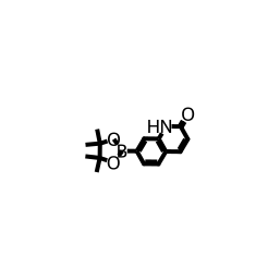 CC1(C)OB(c2ccc3ccc(=O)[nH]c3c2)OC1(C)C